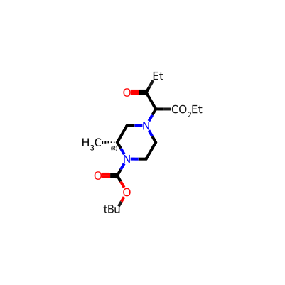 CCOC(=O)C(C(=O)CC)N1CCN(C(=O)OC(C)(C)C)[C@H](C)C1